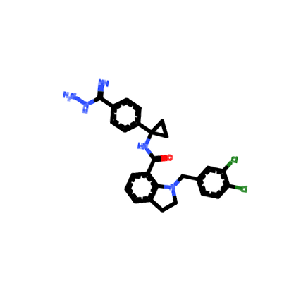 N=C(NN)c1ccc(C2(NC(=O)c3cccc4c3N(Cc3ccc(Cl)c(Cl)c3)CC4)CC2)cc1